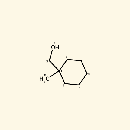 CC1(CO)CCCCC1